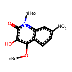 CCCCCCn1c(=O)c(O)c(OCCCC)c2ccc([N+](=O)[O-])cc21